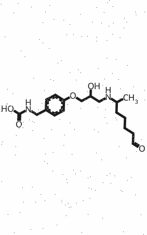 CC(CCCCC=O)NCC(O)COc1ccc(CNC(=O)O)cc1